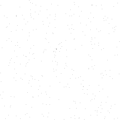 Cc1ccc2c(c1)SCC(=O)N2CC(=O)NNC(=N)c1ccccn1